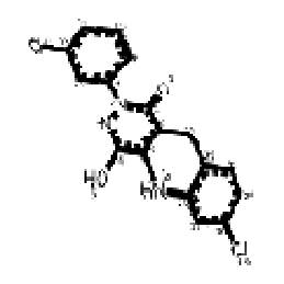 O=c1c2c(c(O)nn1-c1cccc(Cl)c1)Nc1cc(Cl)ccc1C2